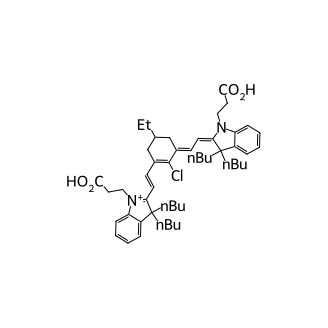 CCCCC1(CCCC)C(/C=C/C2=C(Cl)C(=C/C=C3/N(CCC(=O)O)c4ccccc4C3(CCCC)CCCC)/CC(CC)C2)=[N+](CCC(=O)O)c2ccccc21